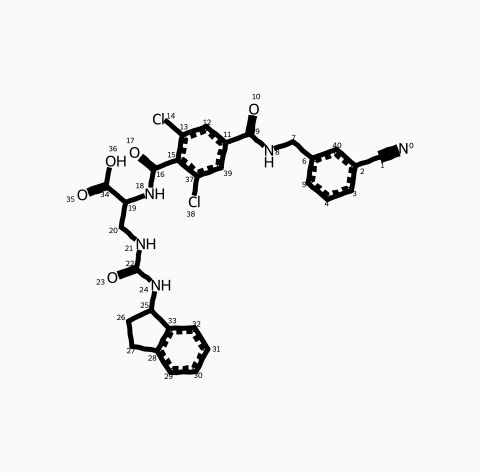 N#Cc1cccc(CNC(=O)c2cc(Cl)c(C(=O)NC(CNC(=O)NC3CCc4ccccc43)C(=O)O)c(Cl)c2)c1